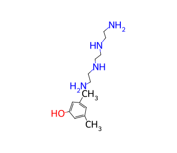 Cc1cc(C)cc(O)c1.NCCNCCNCCN